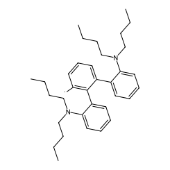 [CH2]c1cccc(-c2ccccc2N(CCCC)CCCC)c1-c1ccccc1N(CCCC)CCCC